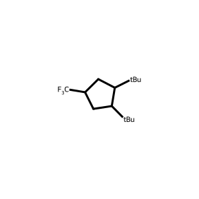 CC(C)(C)C1CC(C(F)(F)F)CC1C(C)(C)C